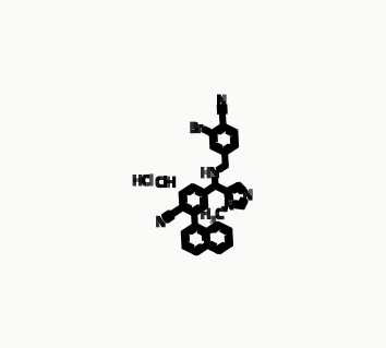 Cl.Cl.Cn1cncc1C(NCc1ccc(C#N)c(Br)c1)c1ccc(C#N)c(-c2cccc3ccccc23)c1